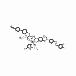 COC(=O)C(Cc1ccc(-c2ccc(C#N)cc2)cc1)NC(=O)[C@@H]1Cc2cc3c(cc2CN1S(=O)(=O)c1ccc(Cl)nc1C)O[C@@H](c1ccc(OCc2ccc(Cl)c(Cl)c2)cc1)CO3